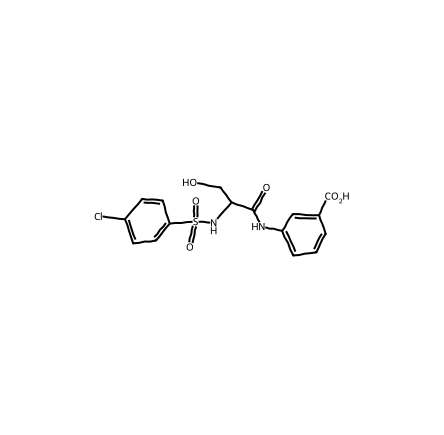 O=C(O)c1cccc(NC(=O)C(CO)NS(=O)(=O)c2ccc(Cl)cc2)c1